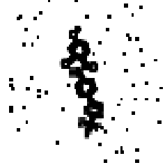 COc1ccc(C(=O)Nc2ccc(-c3csc(C(F)(F)F)n3)cc2)c(Cl)c1